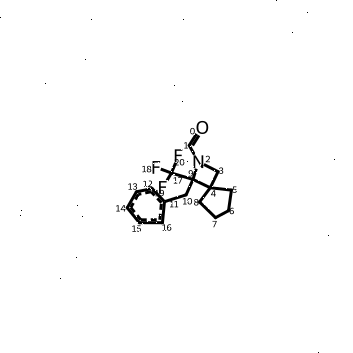 O=CN1CC2(CCCC2)C1(Cc1ccccc1)C(F)(F)F